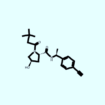 C#Cc1ccc([C@H](C)NC(=O)[C@@H]2C[C@@H](O)CN2C(=O)CC(C)(C)C)cc1